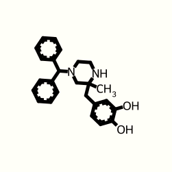 CC1(Cc2ccc(O)c(O)c2)CN(C(c2ccccc2)c2ccccc2)CCN1